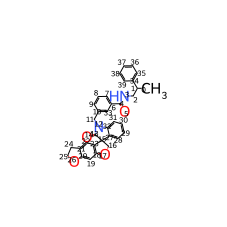 CC(CNC(=O)c1cccc(CN2C(=O)C3(COc4cc5c(cc43)CCO5)c3ccccc32)c1)c1ccccc1